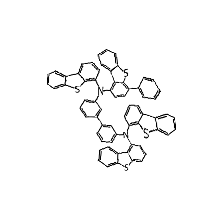 c1ccc(-c2ccc(N(c3cccc(-c4cccc(N(c5cccc6c5sc5ccccc56)c5cccc6sc7ccccc7c56)c4)c3)c3cccc4c3sc3ccccc34)c3c2sc2ccccc23)cc1